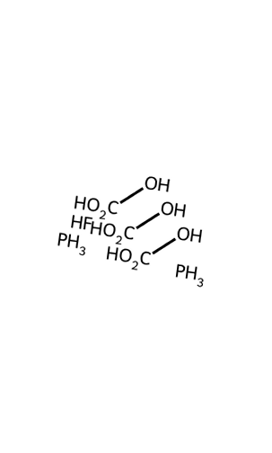 F.O=C(O)O.O=C(O)O.O=C(O)O.P.P